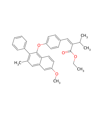 CCOC(=O)C(=Cc1ccc(Oc2c(-c3ccccc3)c(C)cc3cc(OC)ccc23)cc1)C(C)C